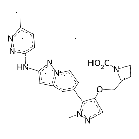 Cc1ccc(Nc2cc3cc(-c4c(OCC5CCN5C(=O)O)cnn4C)ccn3n2)nn1